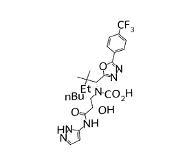 CCCC[C@@H]([C@H](O)C(=O)Nc1ccn[nH]1)N(C(=O)O)[C@@H](c1nnc(-c2ccc(C(F)(F)F)cc2)o1)C(C)(C)CC